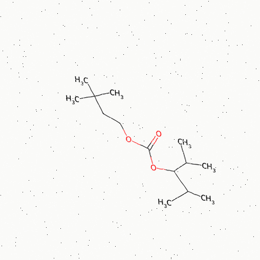 CC(C)C(OC(=O)OCCC(C)(C)C)C(C)C